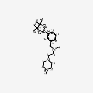 CN1CCN(CCN(C)Cc2cccc(B3OC(C)(C)C(C)(C)O3)c2)CC1